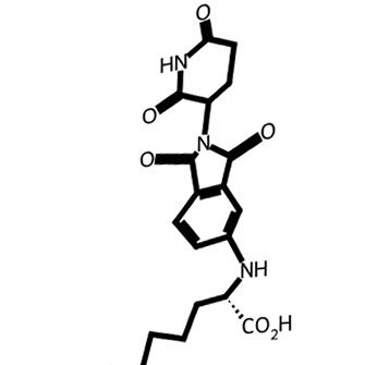 CC(=O)NCCCC[C@H](Nc1ccc2c(c1)C(=O)N(C1CCC(=O)NC1=O)C2=O)C(=O)O